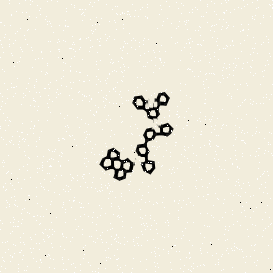 c1cc2cccc3c4cc(-n5c6ccccc6c6cc(-c7ccc8c(c7)c7ccccc7n8-c7cc8c9ccccc9n9c%10ccccc%10c(c7)c89)ccc65)cc5cccc(c(c1)c23)c54